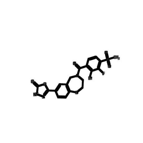 CCc1c(C(=O)N2CCOc3ccc(-c4n[nH]c(=O)o4)cc3C2)ccc(S(C)(=O)=O)c1F